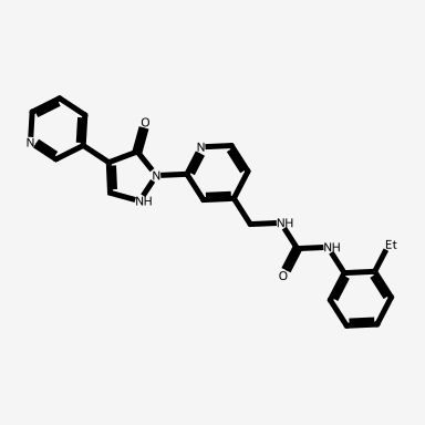 CCc1ccccc1NC(=O)NCc1ccnc(-n2[nH]cc(-c3cccnc3)c2=O)c1